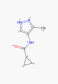 N#Cc1n[nH]cc1NC(=O)C1CC1